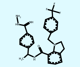 CC(NC(=O)c1cccc2c1N(Cc1ccc(C(F)(F)F)cc1)CC2)c1ccc(C(=N)NN)cc1